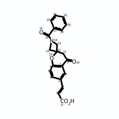 O=C(O)C=Cc1ccc2c(c1)C(=O)CC1(CN(C(=O)c3ccccc3)C1)O2